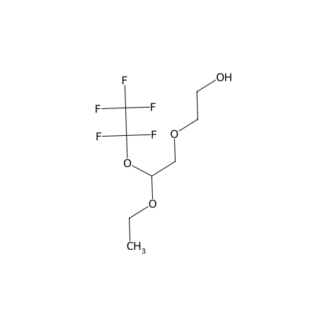 CCOC(COCCO)OC(F)(F)C(F)(F)F